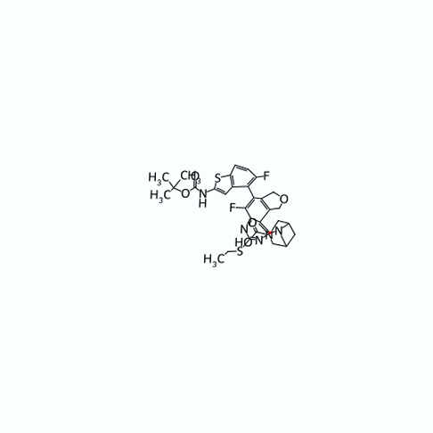 CCSc1nc(N2C3CC2CN(C(=O)O)C3)c2c3c(c(-c4c(F)ccc5sc(NC(=O)OC(C)(C)C)cc45)c(F)c2n1)COC3